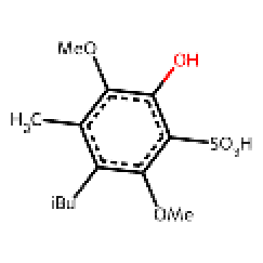 CCC(C)c1c(C)c(OC)c(O)c(S(=O)(=O)O)c1OC